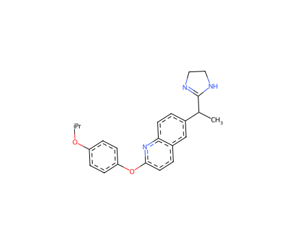 CC(C)Oc1ccc(Oc2ccc3cc(C(C)C4=NCCN4)ccc3n2)cc1